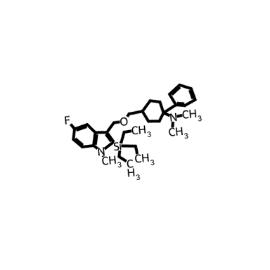 CC[Si](CC)(CC)c1c(COCC2CCC(c3ccccc3)(N(C)C)CC2)c2cc(F)ccc2n1C